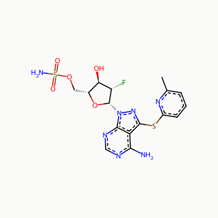 Cc1cccc(Sc2nn([C@@H]3O[C@H](COS(N)(=O)=O)[C@@H](O)[C@@H]3F)c3ncnc(N)c23)n1